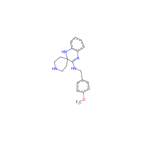 FC(F)(F)Oc1ccc(CNC2=Nc3ccccc3NC23CCNCC3)cc1